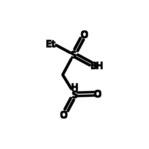 B=S(=O)(CC)C[SH](=O)=O